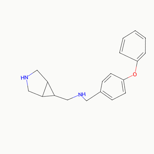 c1ccc(Oc2ccc(CNCC3C4CNCC34)cc2)cc1